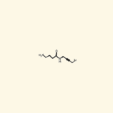 [2H]CC#CCNC(=O)CCCN